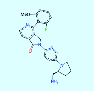 COc1cccc(F)c1-c1nccc2c1CN(c1ccc(N3CCC[C@H]3CN)cn1)C2=O